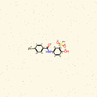 CC(C)c1ccc(C(=O)Nc2ccc(O)c(S(C)(=O)=O)c2)cc1